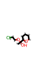 CC(O)(OCCCl)C1CCCCO1